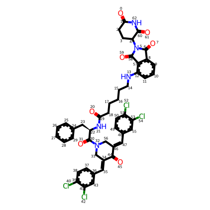 O=C1CCC(N2C(=O)c3cccc(NCCCCCC(=O)N[C@H](Cc4ccccc4)C(=O)N4C/C(=C\c5ccc(Cl)c(Cl)c5)C(=O)/C(=C/c5ccc(Cl)c(Cl)c5)C4)c3C2=O)C(=O)N1